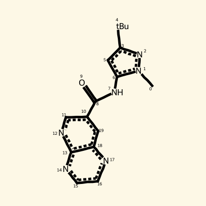 Cn1nc(C(C)(C)C)cc1NC(=O)c1cnc2nccnc2c1